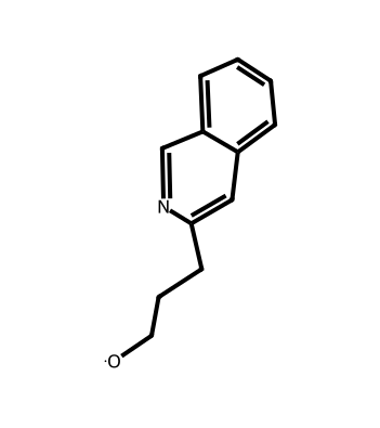 [O]CCCc1cc2ccccc2cn1